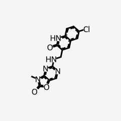 Cn1c(=O)oc2cnc(NCc3cc4cc(Cl)ccc4[nH]c3=O)nc21